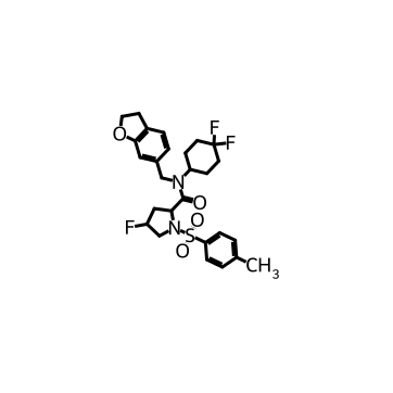 Cc1ccc(S(=O)(=O)N2CC(F)CC2C(=O)N(Cc2ccc3c(c2)OCC3)C2CCC(F)(F)CC2)cc1